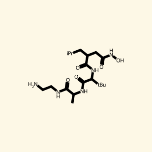 CC(C)CC(CC(=O)NO)C(=O)NC(C(=O)NC(C)C(=O)NCCN)C(C)(C)C